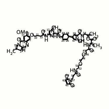 C=C1C[C@H]2C=Nc3cc(OCCCC(=O)Nc4cn(C)c(C(=O)Nc5ccc(-c6cc(C(=O)NC[C@H](C)OC(=O)[C@H](C)NC(=O)CCOCCOCCNC(=O)CCN7C(=O)C=CC7=O)n(C)c6)cc5)n4)c(OC)cc3C(=O)N2C1